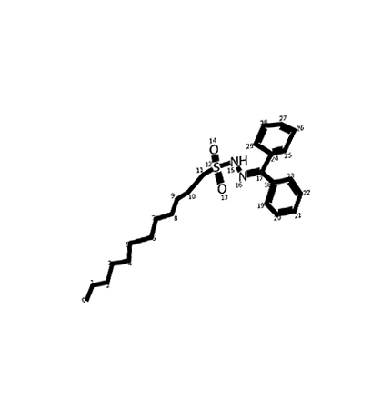 CCCCCCCCCCCCS(=O)(=O)NN=C(c1ccccc1)c1ccccc1